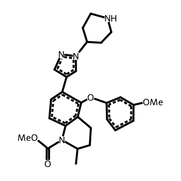 COC(=O)N1c2ccc(-c3cnn(C4CCNCC4)c3)c(Oc3cccc(OC)c3)c2CCC1C